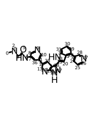 CN(C)CC(=O)Nc1cncc(-c2cnc3[nH]nc(-c4cc5c(-c6cccnc6)cccc5[nH]4)c3c2)c1